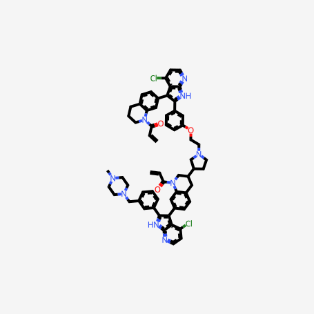 C=CC(=O)N1CCCc2ccc(-c3c(-c4cccc(OCCN5CCC(C6Cc7ccc(-c8c(-c9cccc(CN%10CCN(C)CC%10)c9)[nH]c9nccc(Cl)c89)cc7N(C(=O)C=C)C6)C5)c4)[nH]c4nccc(Cl)c34)cc21